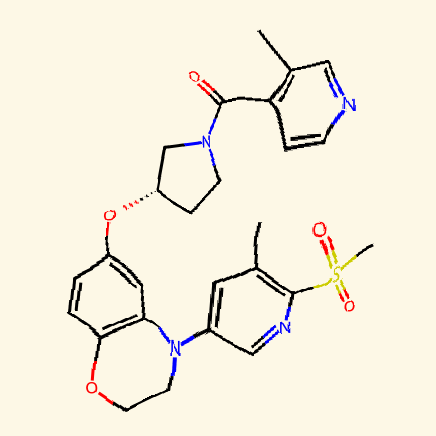 Cc1cnccc1C(=O)N1CC[C@H](Oc2ccc3c(c2)N(c2cnc(S(C)(=O)=O)c(C)c2)CCO3)C1